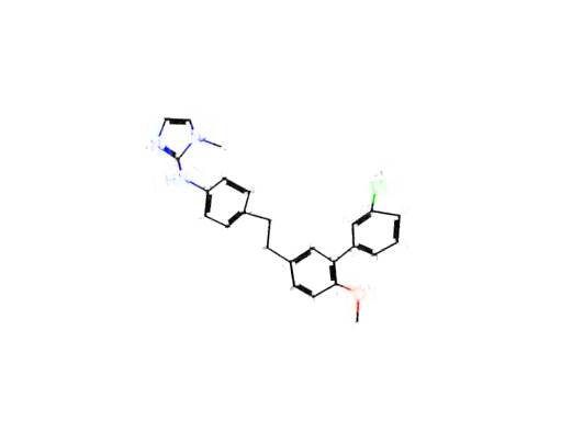 COc1ccc(CCc2ccc(Nc3nccn3C)cc2)cc1-c1cccc(Cl)c1